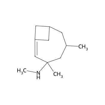 CNC1(C)C=C2CC(C2)CC(C)C1